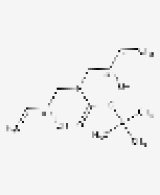 C=C[C@@H](O)CN(C[C@@H](O)C=C)C(=O)OC(C)(C)C